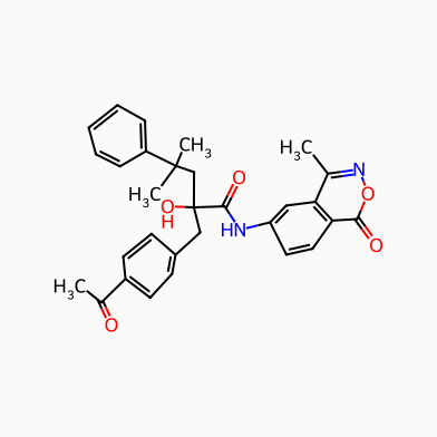 CC(=O)c1ccc(CC(O)(CC(C)(C)c2ccccc2)C(=O)Nc2ccc3c(=O)onc(C)c3c2)cc1